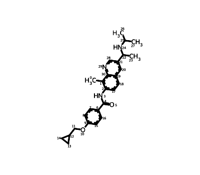 Cc1c(NC(=O)c2ccc(OCC3CC3)cc2)ccc2cc(C(C)NC(C)C)cnc12